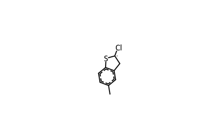 Cc1ccc2c(c1)C[C](Cl)S2